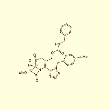 COc1ccc(Cn2nnnc2C2=C(COC(=O)NCc3ccccc3)CS(=O)(=O)[C@H]3[C@@H](OC)C(=O)N23)cc1